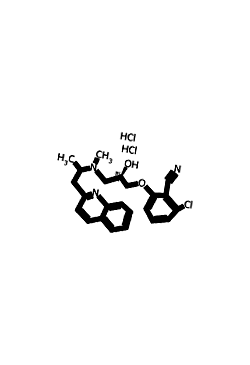 CC(Cc1ccc2ccccc2n1)N(C)C[C@@H](O)COc1cccc(Cl)c1C#N.Cl.Cl